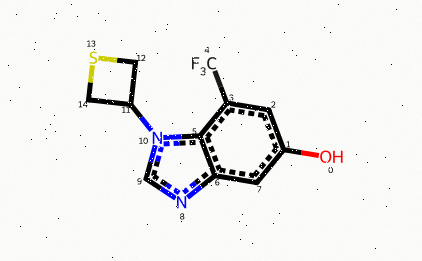 Oc1cc(C(F)(F)F)c2c(c1)ncn2C1CSC1